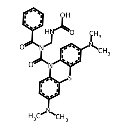 CN(C)c1ccc2c(c1)Sc1cc(N(C)C)ccc1N2C(=O)N(CNC(=O)O)C(=O)c1ccccc1